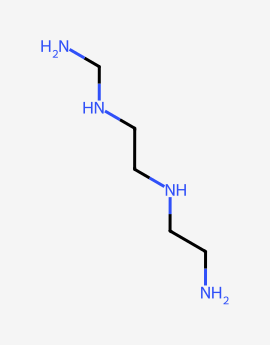 NCCNCCNCN